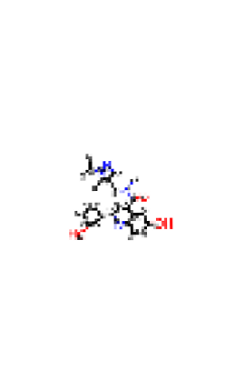 Cc1c(CN(C)C(=O)c2cc(-c3cccc(O)c3)nc3ccc(O)cc23)cnn1C(C)C